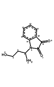 NC(CCO)N1C(=O)C(=O)c2ccccc21